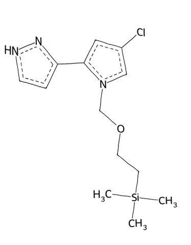 C[Si](C)(C)CCOCn1cc(Cl)cc1-c1cc[nH]n1